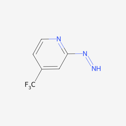 N=Nc1cc(C(F)(F)F)ccn1